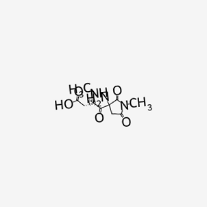 CN[C@@H](CC(=O)O)C(=O)C1(N)CC(=O)N(C)C1=O